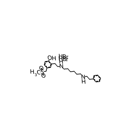 Br.Br.CS(=O)(=O)Cc1ccc(O)c(CCNCCCCCCNCCc2ccccc2)c1